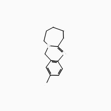 Clc1ccc2c(c1)CN1CCCCCC1=N2